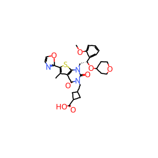 COc1ccccc1[C@@H](Cn1c(=O)n(CC2CC(C(=O)O)C2)c(=O)c2c(C)c(-c3ncco3)sc21)OC1CCOCC1